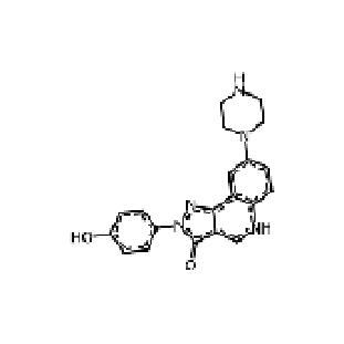 O=c1c2c[nH]c3ccc(N4CCNCC4)cc3c-2nn1-c1ccc(O)cc1